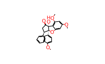 COc1ccc([C@@]23Oc4cc(OC)cc(OC)c4[C@]2(O)C(=O)C[C@@H]3c2ccccc2)cc1